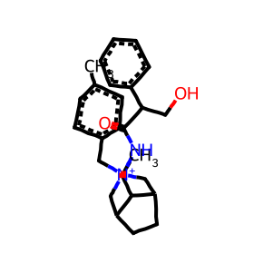 Cc1ccc(C[N+]2(C)CC3CCC(C2)C3CNC(=O)C(CO)c2ccccc2)cc1